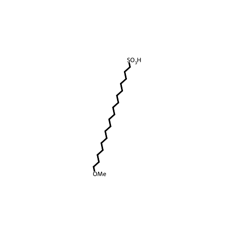 COCCCCCCCCCCCCCCCCCCS(=O)(=O)O